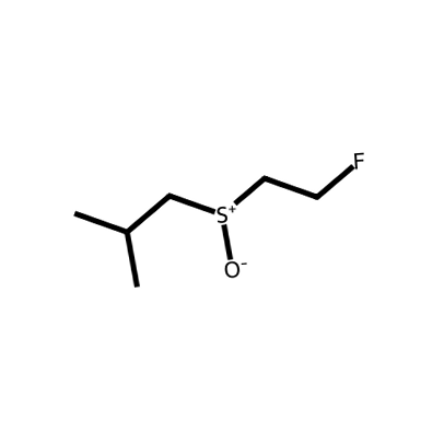 CC(C)C[S+]([O-])CCF